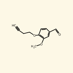 C#CCCOc1ccc(C=O)cc1OC